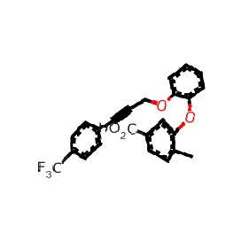 Cc1ccc(C(=O)O)cc1Oc1ccccc1OCC#Cc1ccc(C(F)(F)F)cc1